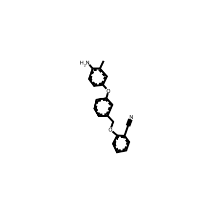 Cc1cc(Oc2cccc(COc3ccccc3C#N)c2)ccc1N